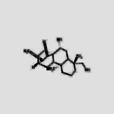 C=C1C(=O)[C@]23CC[C@H]1CC2[C@]1(C(=O)O)CCC[C@@](C)(CO)C1C[C@H]3O